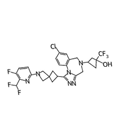 OC1(C(F)(F)F)CC(N2Cc3cc(Cl)ccc3-n3c(nnc3C3CC4(C3)CN(c3ccc(F)c(C(F)F)n3)C4)C2)C1